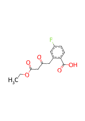 CCOC(=O)CC(=O)Cc1cc(F)ccc1C(=O)O